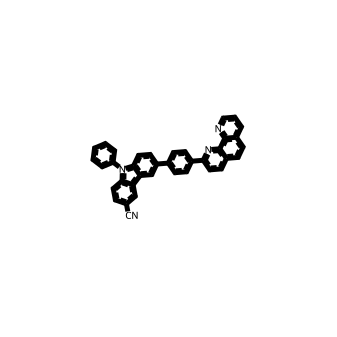 N#Cc1ccc2c(c1)c1cc(-c3ccc(-c4ccc5ccc6cccnc6c5n4)cc3)ccc1n2-c1ccccc1